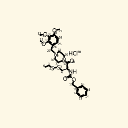 CCSSC[C@H](NC(=O)OCc1ccccc1)C(=O)N1CCN(Cc2ccc(OC)c(OC)c2OC)CC1.Cl